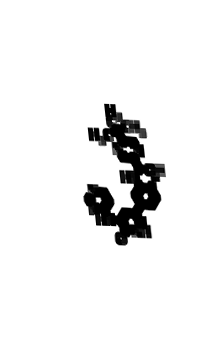 CC(C)(C)c1cnc(C(O)Nc2cc(-c3cc(Nc4ccncn4)c(=O)[nH]n3)ccc2F)cn1